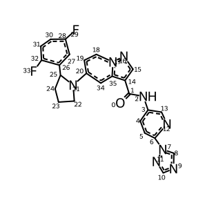 O=C(Nc1ccc(-n2cncn2)nc1)c1cnn2ccc(N3CCCC3c3cc(F)ccc3F)cc12